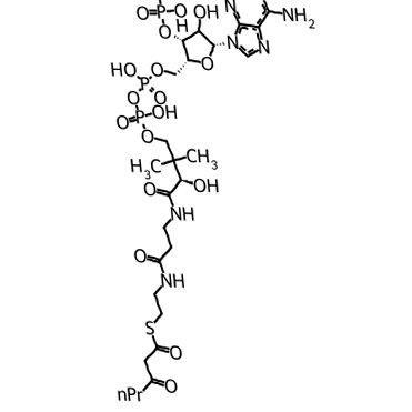 CCCC(=O)CC(=O)SCCNC(=O)CCNC(=O)[C@H](O)C(C)(C)COP(=O)(O)OP(=O)(O)OC[C@H]1O[C@@H](n2cnc3c(N)ncnc32)C(O)[C@H]1OP(=O)(O)O